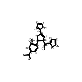 CC(C)c1ccc(C2CC(C3=CC=CC3)=CC2C(=O)C2=CC=CC2)c(O)c1